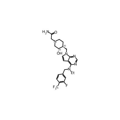 CCN(Cc1ccc(C(F)(F)F)c(F)c1)c1ncnc2c1ccn2C[C@@H]1CCN(CC(N)=O)C[C@H]1O